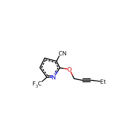 CCC#CCOc1nc(C(F)(F)F)ccc1C#N